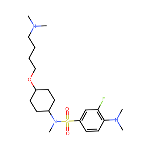 CN(C)CCCCOC1CCC(N(C)S(=O)(=O)c2ccc(N(C)C)c(F)c2)CC1